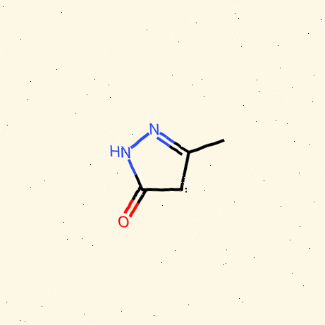 CC1=NNC(=O)[C]1